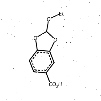 CCOC1Oc2ccc(C(=O)O)cc2O1